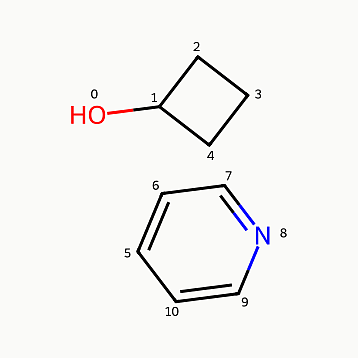 OC1CCC1.c1ccncc1